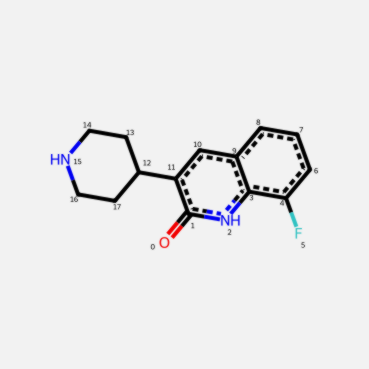 O=c1[nH]c2c(F)cccc2cc1C1CCNCC1